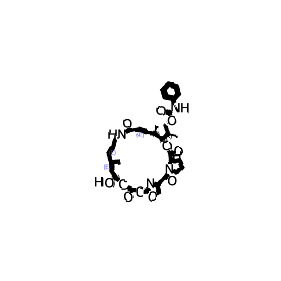 CC1=C\[C@@H](O)CC(=O)Cc2nc(co2)C(=O)N2CCC[C@@H]2C(=O)O[C@H]([C@H](C)COC(=O)Nc2ccccc2)[C@H](C)/C=C/C(=O)NC\C=C\1